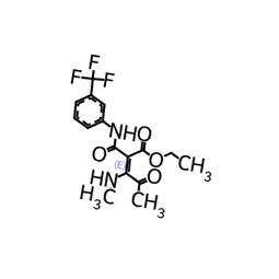 CCOC(=O)/C(C(=O)Nc1cccc(C(F)(F)F)c1)=C(/NC)C(C)=O